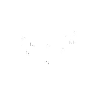 CCOc1ncc(-c2cncc3cc(C=C4SC(=S)NC4=O)oc23)cn1